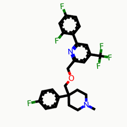 CN1CCC(COCc2cc(C(F)(F)F)cc(-c3ccc(F)cc3F)n2)(c2ccc(F)cc2)CC1